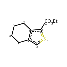 CCOC(=O)c1scc2c1CCCC2